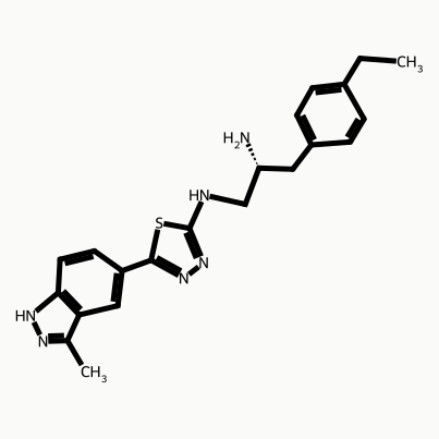 CCc1ccc(C[C@@H](N)CNc2nnc(-c3ccc4[nH]nc(C)c4c3)s2)cc1